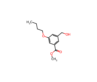 CCCCOc1cc(CO)cc(C(=O)OC)c1